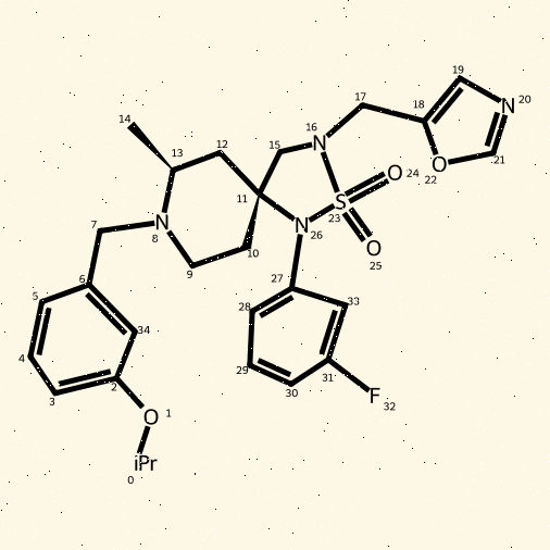 CC(C)Oc1cccc(CN2CC[C@@]3(C[C@@H]2C)CN(Cc2cnco2)S(=O)(=O)N3c2cccc(F)c2)c1